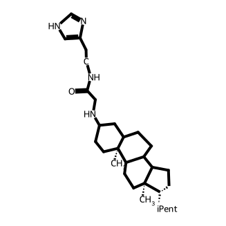 CCC[C@@H](C)[C@H]1CCC2C3CCC4CC(NCC(=O)NCCc5c[nH]cn5)CC[C@]4(C)C3CC[C@@]21C